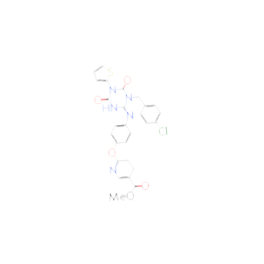 COC(=O)C1=CN=C(Oc2ccc(/N=c3\[nH]c(=O)n(-c4cccs4)c(=O)n3Cc3ccc(Cl)cc3)cc2)CC1